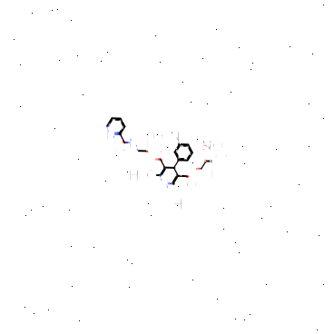 CC1=C(C(=O)OCCNC(=O)c2ccccn2)C(c2cccc([N+](=O)[O-])c2)C(C(=O)OCC(C)O[N+](=O)[O-])=C(C)N1